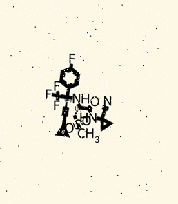 CS(=O)(=O)C[C@H](N[C@@](C#CC1CC1)(c1ccc(F)cc1)C(F)(F)F)C(=O)NC1(C#N)CC1